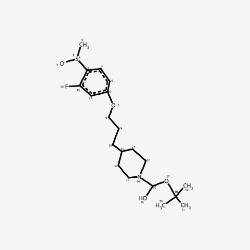 C[S+]([O-])c1ccc(OCCCC2CCN(C(O)OC(C)(C)C)CC2)cc1F